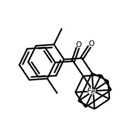 Cc1ccccc1C(=O)[C]12[CH]3[CH]4[CH]5[CH]1[Fe]45321678[CH]2[CH]1[CH]6[C]7(C(=O)c1ccccc1C)[CH]28